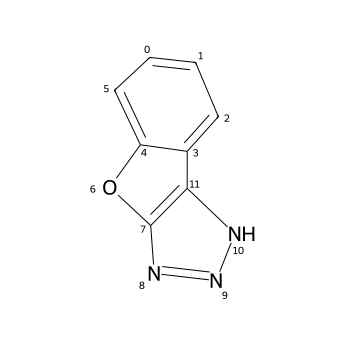 c1ccc2c(c1)oc1nn[nH]c12